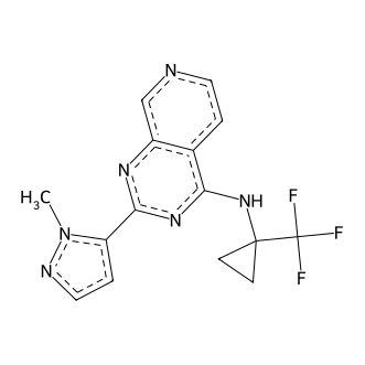 Cn1nccc1-c1nc(NC2(C(F)(F)F)CC2)c2ccncc2n1